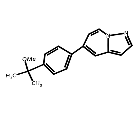 COC(C)(C)c1ccc(-c2ccn3nccc3c2)cc1